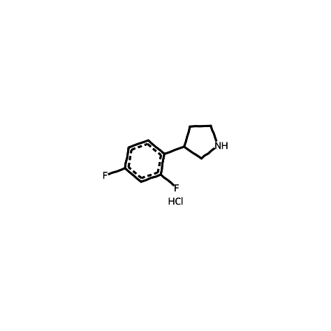 Cl.Fc1ccc(C2CCNC2)c(F)c1